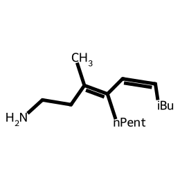 CCCCCC(/C=C\C(C)CC)=C(/C)CCN